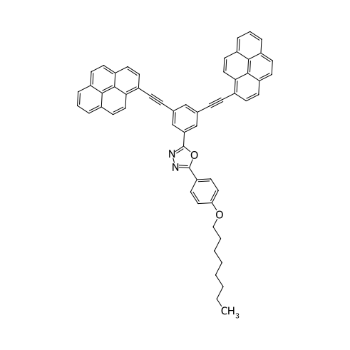 CCCCCCCCOc1ccc(-c2nnc(-c3cc(C#Cc4ccc5ccc6cccc7ccc4c5c67)cc(C#Cc4ccc5ccc6cccc7ccc4c5c67)c3)o2)cc1